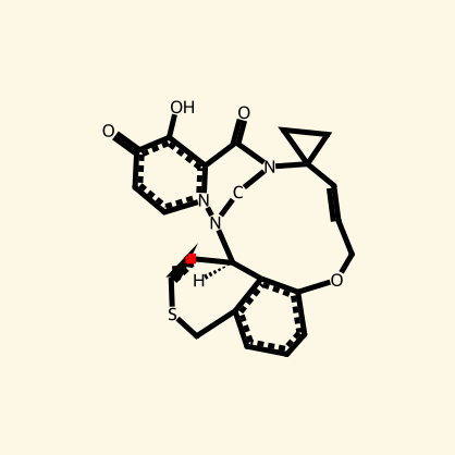 O=C1c2c(O)c(=O)ccn2N2CN1C1(/C=C/COc3cccc4c3[C@H]2c2ccccc2SC4)CC1